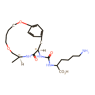 C[C@H]1COCCCCOc2ccc(cc2)C[C@@H](NC(=O)NC(CCCCN)C(=O)O)C(=O)N1